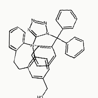 C[N+]1(c2nnnn2C(c2ccccc2)(c2ccccc2)c2ccccc2)c2ccccc2CCc2cc(CO)ccc21